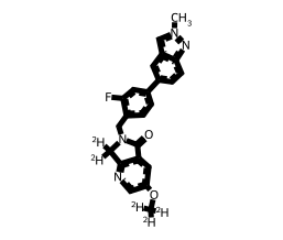 [2H]C([2H])([2H])Oc1cnc2c(c1)C(=O)N(Cc1ccc(-c3ccc4nn(C)cc4c3)cc1F)C2([2H])[2H]